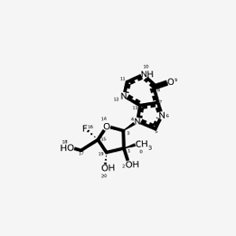 C[C@]1(O)[C@H](n2cnc3c(=O)[nH]cnc32)O[C@](F)(CO)[C@H]1O